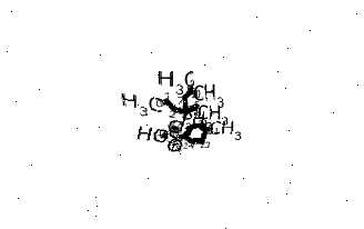 CCCC(P)(CC)CC(C)C.Cc1ccc(S(=O)(=O)O)cc1